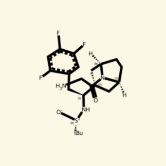 CC(C)(C)[S@+]([O-])N[C@@H](Cc1cc(F)c(F)cc1F)[C@@H]1C[C@H]2CC[C@@H](C1)N2C(=O)CN